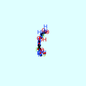 O=C1CC[C@H](Nc2ccc(N3CCC(O)(C(=O)N4CC5(C4)CN(c4ccc(-c6cc(F)c7c(c6)C(=O)N(C(C(=O)Nc6nccs6)c6ncn8c6CCC8)C7)cc4)C5)CC3)c(F)c2)C(=O)N1